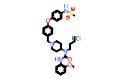 CCCCN(C(=O)Nc1ccccc1OC)C1CCN(Cc2ccc(Oc3ccc(NS(C)(=O)=O)cc3)cc2)CC1.Cl